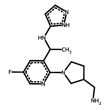 CC(Nc1ccn[nH]1)c1cc(F)cnc1N1CCC(CN)C1